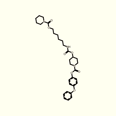 O=C(NCCCCCCOC(=O)N1CCCCC1)OC1CCN(C(=O)Oc2ccc(Oc3ccccc3)cc2)CC1